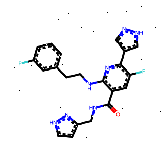 O=C(NCc1cc[nH]n1)c1cc(F)c(-c2cn[nH]c2)nc1NCCc1cccc(F)c1